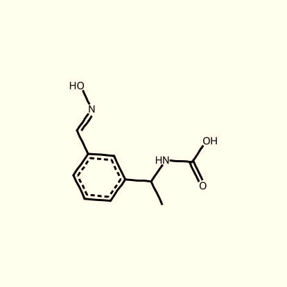 CC(NC(=O)O)c1cccc(C=NO)c1